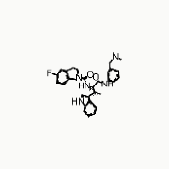 C[C@@H](c1c[nH]c2ccccc12)[C@@H](NC(=O)N1CCc2cc(F)ccc2C1)C(=O)Nc1cccc(CN(C)C)c1